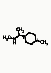 CNC(C)N1CCN(C)CC1